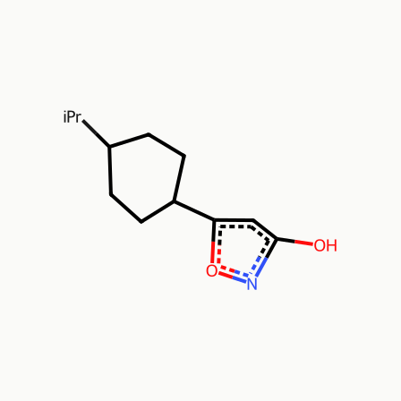 CC(C)C1CCC(c2cc(O)no2)CC1